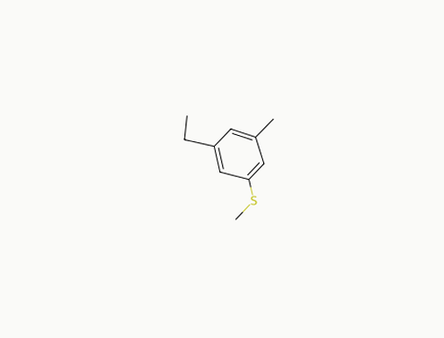 CCc1cc(C)cc(SC)c1